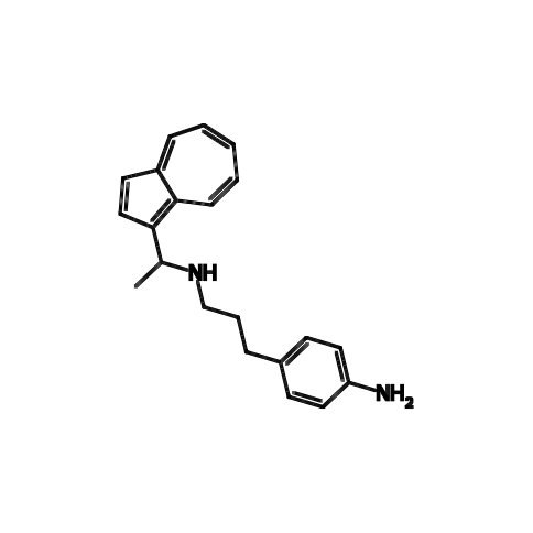 CC(NCCCc1ccc(N)cc1)c1ccc2cccccc1-2